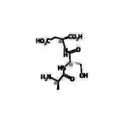 C[C@@H](N)C(=O)N[C@@H](CO)C(=O)N[C@@H](CC(=O)O)C(=O)O